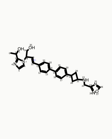 CC(O)c1nccn1C(/C=C/c1ccc(-c2ccc(C3CC(NCc4ncon4)C3)cc2)cc1)CO